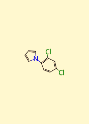 Clc1ccc(-n2cccc2)c(Cl)c1